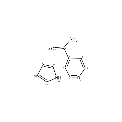 NC(=O)c1ccncc1.c1cc[nH]c1